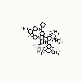 Cc1cc2c3c(c1)N(c1ccc4c(c1)C(C)(C)CCC4(C)C)c1cc4c(cc1B3c1ccc(N(c3ccccc3)c3ccccc3)cc1N2c1ccc2oc3cc(C(C)(C)C)ccc3c2c1)C(C)(C)CCC4(C)C